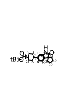 CC(C)(C)OC(=O)N1CCC(c2ccc3c(c2)NC(=O)C32CCCC2)CC1